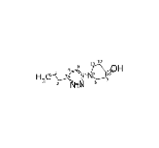 CCCc1ccc(N2CCC(O)CC2)nn1